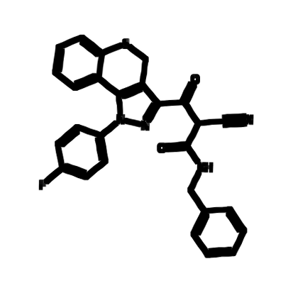 N#CC(C(=O)NCc1ccccc1)C(=O)c1nn(-c2ccc(F)cc2)c2c1CSc1ccccc1-2